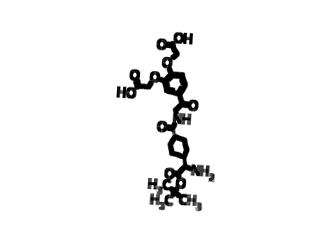 CC(C)(C)OC(=O)C(N)[C@H]1CC[C@H](C(=O)NCC(=O)c2ccc(OCC(=O)O)c(OCC(=O)O)c2)CC1